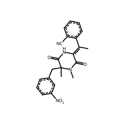 CC(=C1NC(=O)C(C)(Cc2cccc([N+](=O)[O-])c2)N(C)C1=O)c1ccccc1C#N